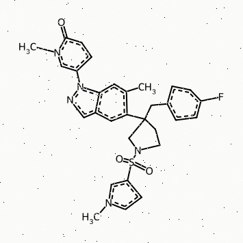 Cc1cc2c(cnn2-c2ccc(=O)n(C)c2)cc1C1(Cc2ccc(F)cc2)CCN(S(=O)(=O)c2ccn(C)c2)C1